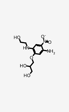 Nc1cc(OCC(O)CO)c(NCCO)cc1[N+](=O)[O-]